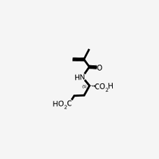 C=C(C)C(=O)N[C@@H](CCC(=O)O)C(=O)O